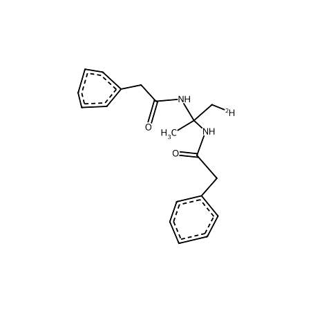 [2H]CC(C)(NC(=O)Cc1ccccc1)NC(=O)Cc1ccccc1